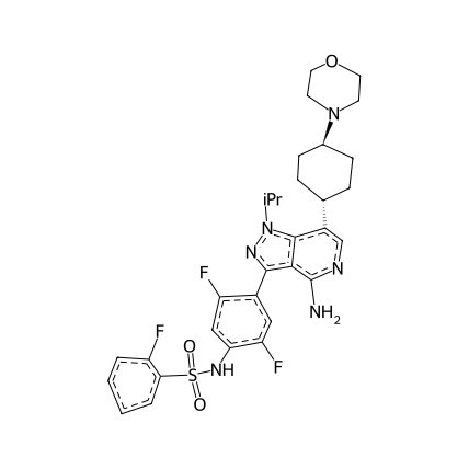 CC(C)n1nc(-c2cc(F)c(NS(=O)(=O)c3ccccc3F)cc2F)c2c(N)ncc([C@H]3CC[C@H](N4CCOCC4)CC3)c21